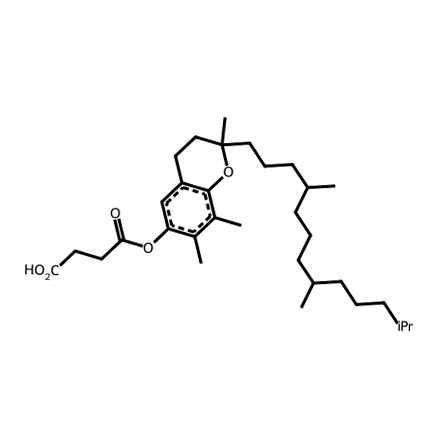 Cc1c(OC(=O)CCC(=O)O)cc2c(c1C)OC(C)(CCCC(C)CCCC(C)CCCC(C)C)CC2